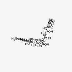 N.N.N.N.N.N.N.N.N.N.N.N.OB(O)O.OB(O)O.OB(O)O.OB(O)O.OB(O)O